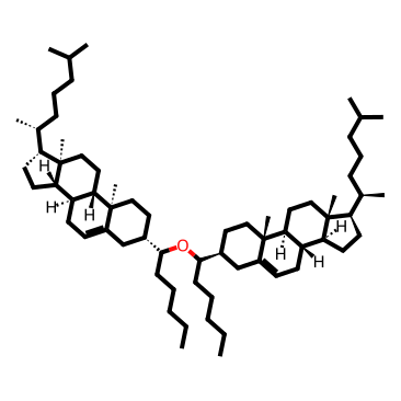 CCCCCC(OC(CCCCC)[C@H]1CC[C@@]2(C)C(=CC[C@H]3[C@@H]4CC[C@H]([C@H](C)CCCC(C)C)[C@@]4(C)CC[C@@H]32)C1)[C@H]1CC[C@@]2(C)C(=CC[C@H]3[C@@H]4CC[C@H]([C@H](C)CCCC(C)C)[C@@]4(C)CC[C@@H]32)C1